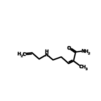 C=CCNCCC=C(C)C(N)=O